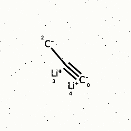 [C-]#C[CH2-].[Li+].[Li+]